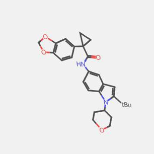 CC(C)(C)c1cc2cc(NC(=O)C3(c4ccc5c(c4)OCO5)CC3)ccc2n1C1CCOCC1